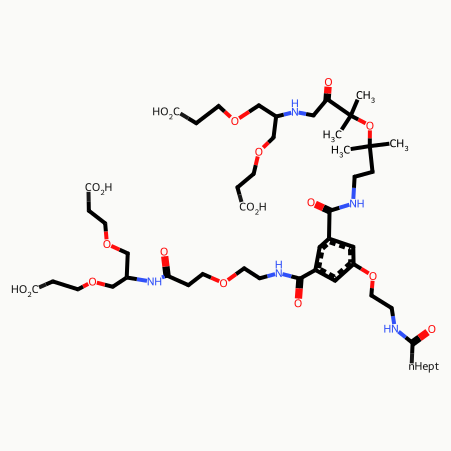 CCCCCCCC(=O)NCCOc1cc(C(=O)NCCOCCC(=O)NC(COCCC(=O)O)COCCC(=O)O)cc(C(=O)NCCC(C)(C)OC(C)(C)C(=O)CNC(COCCC(=O)O)COCCC(=O)O)c1